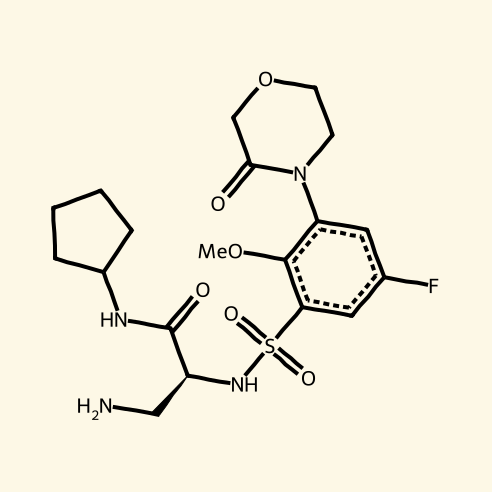 COc1c(N2CCOCC2=O)cc(F)cc1S(=O)(=O)N[C@@H](CN)C(=O)NC1CCCC1